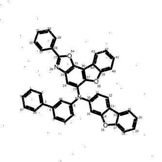 c1ccc(-c2cccc(N(c3ccc4c(c3)oc3ccccc34)c3cc4nc(-c5ccccc5)oc4c4c3oc3ccccc34)c2)cc1